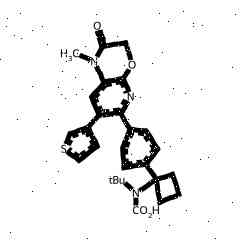 CN1C(=O)COc2nc(-c3ccc(C4(N(C(=O)O)C(C)(C)C)CCC4)cc3)c(-c3ccsc3)cc21